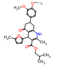 COc1ccc(C2CC(=O)C3=C(C2)NC(C)=C(C(=O)OCC(C)C)C3c2ccc(C)o2)cc1OC